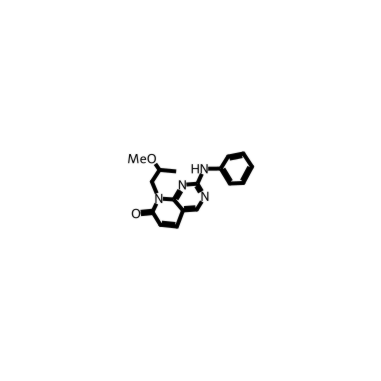 COC(C)Cn1c(=O)ccc2cnc(Nc3ccccc3)nc21